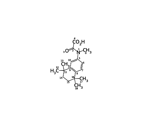 CN(C(=O)C(=O)O)c1ccc2c(c1)C(C)(C)CCC2(C)C